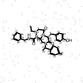 CCN1CC(=O)N2[C@@H](Cc3ccc(O)cc3)C(=O)N(C(C)c3ccc(F)cc3)C[C@@H]2N1C(=O)NCc1ccccc1